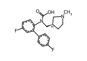 CN1CC[C@@H](CN(C(=O)O)c2ccc(F)cc2-c2ccc(F)cc2)C1